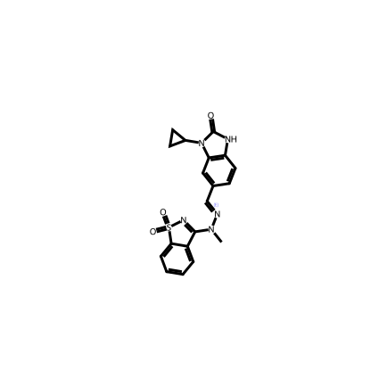 CN(/N=C/c1ccc2[nH]c(=O)n(C3CC3)c2c1)C1=NS(=O)(=O)c2ccccc21